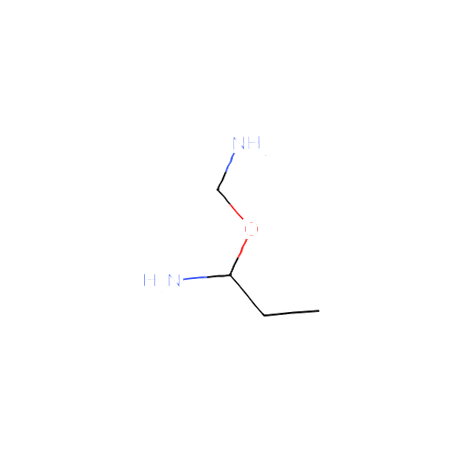 CCC(N)OCN